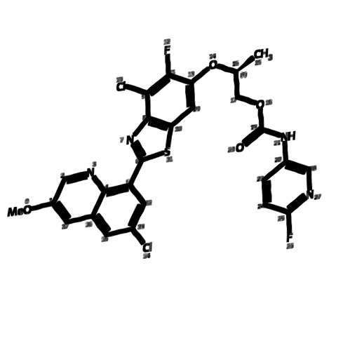 COc1cnc2c(-c3nc4c(Cl)c(F)c(O[C@@H](C)COC(=O)Nc5ccc(F)nc5)cc4s3)cc(Cl)cc2c1